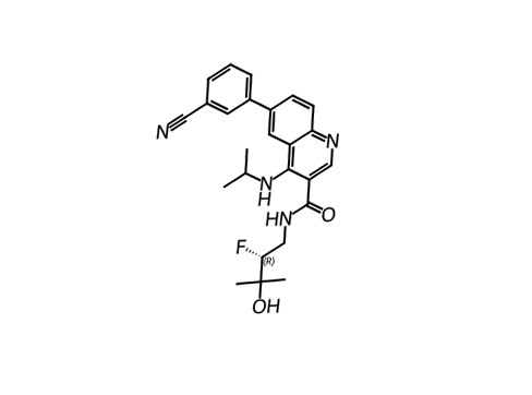 CC(C)Nc1c(C(=O)NC[C@@H](F)C(C)(C)O)cnc2ccc(-c3cccc(C#N)c3)cc12